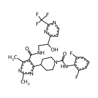 Cc1nc(C)c(C(=O)NCC(O)c2ccnc(C(F)(F)F)n2)c(C2CCN(C(=O)Nc3c(F)cccc3F)CC2)n1